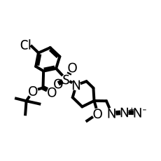 COC1(CN=[N+]=[N-])CCN(S(=O)(=O)c2ccc(Cl)cc2C(=O)OC(C)(C)C)CC1